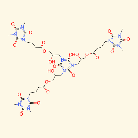 Cn1c(=O)n(C)c(=O)n(CCCC(=O)OCC(O)Cn2c(=O)n(CC(O)COC(=O)CCCn3c(=O)n(C)c(=O)n(C)c3=O)c(=O)n(CC(O)COC(=O)CCCn3c(=O)n(C)c(=O)n(C)c3=O)c2=O)c1=O